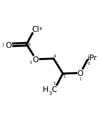 CC(C)OC(C)COC(=O)Cl